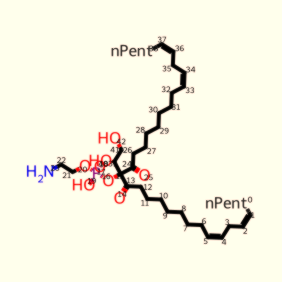 CCCCC/C=C\C/C=C\CCCCCCCC(=O)C(OP(=O)(O)OCCN)(C(=O)CCCCCCC/C=C\C/C=C\CCCCC)[C@@H](O)CO